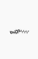 CCCCCCCCOc1ccc(C=COC)cc1